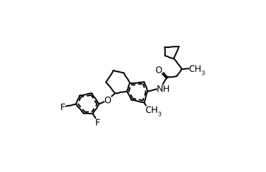 Cc1cc2c(cc1NC(=O)CC(C)C1CCC1)CCCC2Oc1ccc(F)cc1F